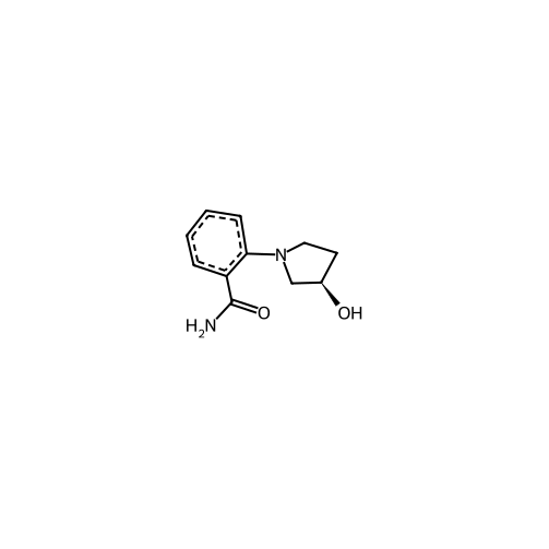 NC(=O)c1ccccc1N1CC[C@@H](O)C1